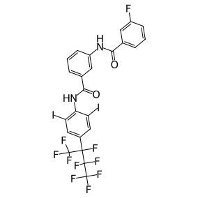 O=C(Nc1cccc(C(=O)Nc2c(I)cc(C(F)(C(F)(F)F)C(F)(F)C(F)(F)F)cc2I)c1)c1cccc(F)c1